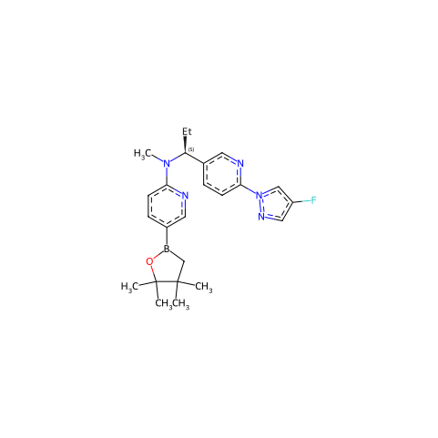 CC[C@@H](c1ccc(-n2cc(F)cn2)nc1)N(C)c1ccc(B2CC(C)(C)C(C)(C)O2)cn1